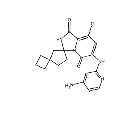 Nc1cc(Nc2cc(Cl)c3n(c2=O)C2(CCC4(CCC4)C2)NC3=O)ncn1